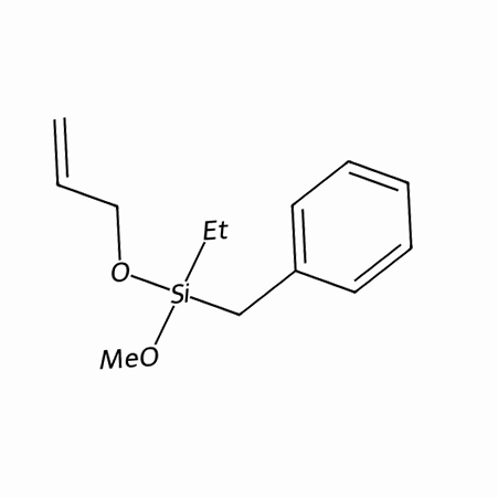 C=CCO[Si](CC)(Cc1ccccc1)OC